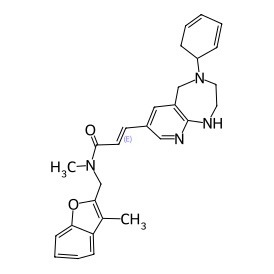 Cc1c(CN(C)C(=O)/C=C/c2cnc3c(c2)CN(C2C=CC=CC2)CCN3)oc2ccccc12